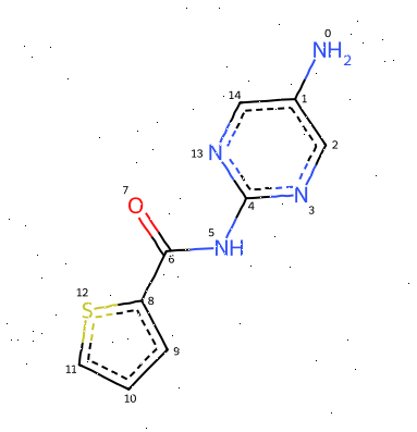 Nc1cnc(NC(=O)c2cccs2)nc1